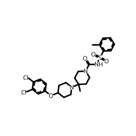 Cc1ccccc1S(=O)(=O)NC(=O)N1CCC(C)(N2CCC(Oc3ccc(Cl)c(Cl)c3)CC2)CC1